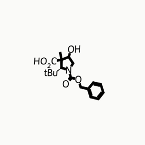 CC(C)(C)[C@H]1N(C(=O)OCc2ccccc2)CC(O)C1(C)C(=O)O